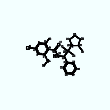 CSc1cc(Cl)cc(C)c1C(=O)NC(c1ccccc1)C(C)(C)N1CCCC1C